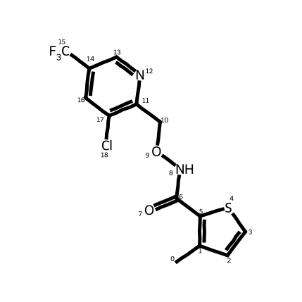 Cc1ccsc1C(=O)NOCc1ncc(C(F)(F)F)cc1Cl